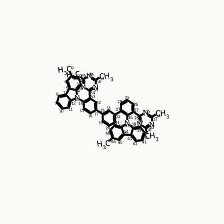 Cc1ccc2c(c1)c1ccccc1n2-c1ccc(-c2cccc(-c3cccc(-c4nc(C)nc(C)n4)c3-n3c4ccccc4c4cc(C)ccc43)c2)cc1-c1nc(C)nc(C)n1